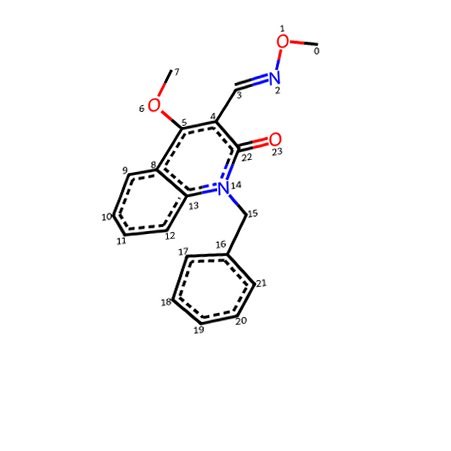 CON=Cc1c(OC)c2ccccc2n(Cc2ccccc2)c1=O